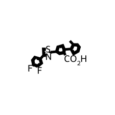 Cc1ccccc1-c1ccc(-c2nc(-c3ccc(F)c(F)c3)cs2)cc1C(=O)O